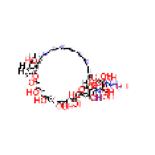 C[C@@H]1[C@H](O)[C@@H](C)/C=C/C=C/C=C/C=C/C=C/C=C/C=C/[C@H](O[C@@H]2O[C@H](C)[C@@H](O)[C@H](N)[C@@H]2O)C[C@@H]2O[C@](O)(C[C@@H](O)C[C@@H](O)[C@H](O)CC[C@@H](O)C[C@@H](O)CC(=O)O[C@H]1C)C[C@H](O)C2C(=O)NC1C(O)OC(CO)C(O)C1O